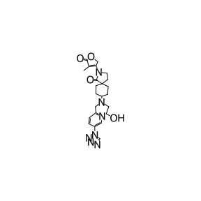 CC1=C(N2CCC3(CCC(N(CCO)Cc4ccc(-n5cnnn5)cn4)CC3)C2=O)COC1=O